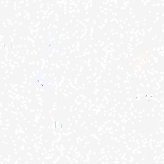 COC(=O)c1cc(Br)c2nc(Cl)[nH]c2c1